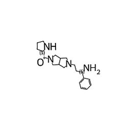 N[C@@H](CCN1CC2CN(C(=O)[C@@H]3CCCN3)CC2C1)c1ccccc1